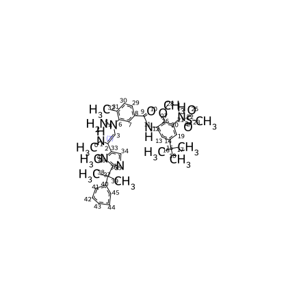 CN/C(=C\N(N)c1cc(C(=O)Nc2cc(C(C)(C)C)cc(NS(C)(=O)=O)c2OC)ccc1C)c1cnc(C(C)(C)c2ccccc2)n1C